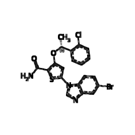 C[C@@H](Oc1cc(-n2cnc3cc(Br)ccc32)sc1C(N)=O)c1ccccc1Cl